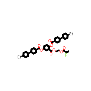 C=C(F)C(=O)OCCOC(=O)c1cc(OC(=O)c2ccc(-c3ccc(CC)cc3)cc2)ccc1OC(=O)c1ccc(-c2ccc(CC)cc2)cc1